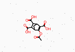 CC(=O)OC1=C(C(=O)O)C2CC1C(C(=O)O)C2C(=O)O